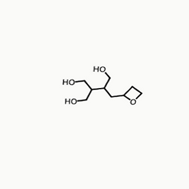 OCC(CO)C(CO)CC1CCO1